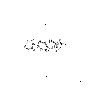 c1ccc(-c2ccc(N3CC4C[C@H]3CN4)nn2)cc1